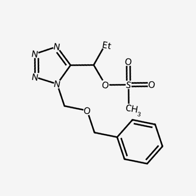 CCC(OS(C)(=O)=O)c1nnnn1COCc1ccccc1